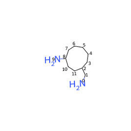 NCC1CCCCCC(N)CC1